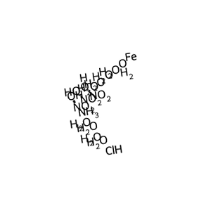 Cl.N.O.O.O.O.O.O.O.O.O.O=[N+]([O-])O.O=[N+]([O-])O.O=[N+]([O-])O.[Fe]